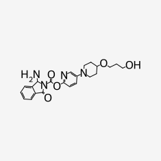 NC1c2ccccc2C(=O)N1C(=O)Oc1ccc(N2CCC(OCCCO)CC2)cn1